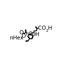 C=C(CCC)C(=O)OCCCCCC.C=C(CCO)C(=O)O.C=Cc1ccccc1